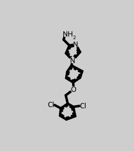 NCc1cn(-c2ccc(OCc3c(Cl)cccc3Cl)cc2)cn1